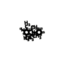 C=C1c2c(C)c(I)cc(C)c2C(C)(C)N1c1ccccc1